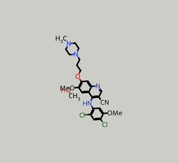 CO.COc1cc(Nc2c(C#N)cnc3cc(OCCCN4CCN(C)CC4)c(OC)cc23)c(Cl)cc1Cl